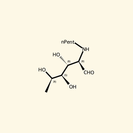 CCCCCN[C@@H](C=O)[C@@H](O)[C@@H](O)[C@@H](C)O